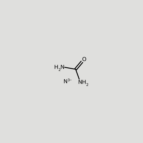 NC(N)=O.[N-3]